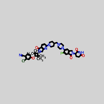 CC1(C)[C@H](Oc2ccc(C#N)c(Cl)c2)C(C)(C)[C@H]1N1Cc2nc(N3CCC(CN4CCN(c5cc6c(cc5F)C(=O)N(C5CCC(=O)NC5=O)C6)CC4)CC3)ccc2C1=O